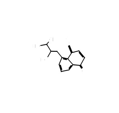 O=C1C=CC(=O)c2c(CC(O)C(O)Cl)cccc21